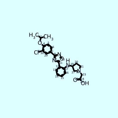 CC(C)Oc1ccc(-c2noc(-c3ccccc3NC3CCN(CC(=O)O)C3)n2)cc1Cl